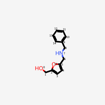 OCc1ccc(CNCc2ccccc2)o1